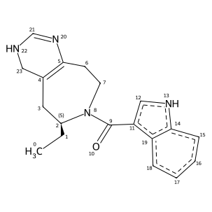 CC[C@H]1CC2=C(CCN1C(=O)c1c[nH]c3ccccc13)N=CNC2